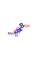 COC(=O)Nc1nc(O)c2c(cnn2Cc2ccc(CO)c3cccnc23)n1